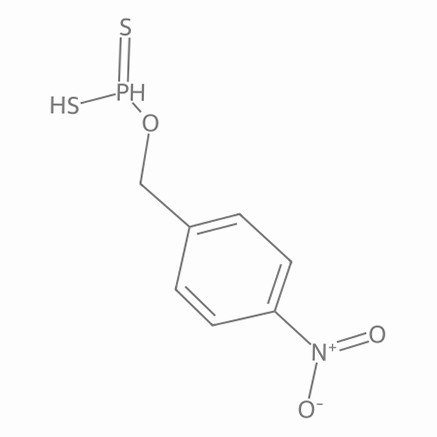 O=[N+]([O-])c1ccc(CO[PH](=S)S)cc1